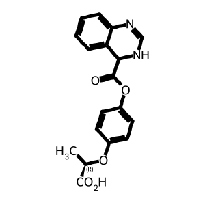 C[C@@H](Oc1ccc(OC(=O)C2NC=Nc3ccccc32)cc1)C(=O)O